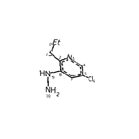 CCSc1ncc(Cl)cc1NN